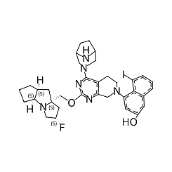 Oc1cc(N2CCc3c(nc(OC[C@]45C[C@H](F)CN4[C@H]4CCC[C@H]4C5)nc3N3CC4CCC(C3)N4)C2)c2c(I)cccc2c1